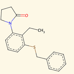 CCc1c(SCc2ccccc2)cccc1N1CCCC1=O